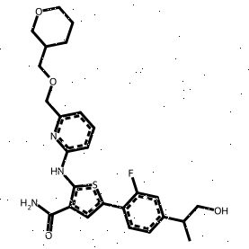 CC(CO)c1ccc(-c2cc(C(N)=O)c(Nc3cccc(COCC4CCCOC4)n3)s2)c(F)c1